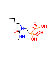 CCCCN(CCP(=O)(O)OP(=O)(O)O)C(=O)NC